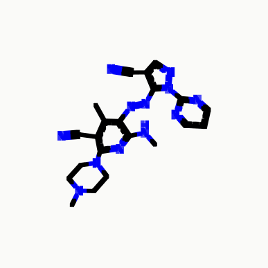 CNc1nc(N2CCN(C)CC2)c(C#N)c(C)c1/N=N/c1c(C#N)cnn1-c1ncccn1